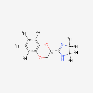 [2H]c1c([2H])c([2H])c2c(c1[2H])OC[C@@H](C1=NC([2H])([2H])C([2H])([2H])N1)O2